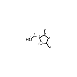 CC1CC(C)[C@@H](CO)O1